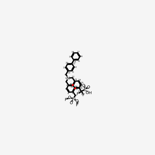 O=P(Cc1ccc(CN(Cc2ccc(-c3ccccc3)cc2)Cc2ccc(C(F)(F)P(=O)(O)O)cc2)cc1)(OF)OF